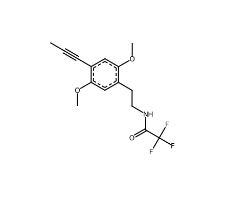 CC#Cc1cc(OC)c(CCNC(=O)C(F)(F)F)cc1OC